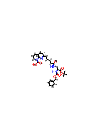 CC(C)(C)OC(=O)C(CNC(=O)CCCCc1ccc2c(n1)N(C(=O)O)CCC2)NC(=O)OCc1ccccc1